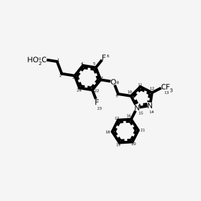 O=C(O)CCc1cc(F)c(OCc2cc(C(F)(F)F)nn2-c2ccccc2)c(F)c1